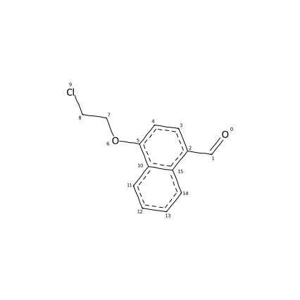 O=Cc1ccc(OCCCl)c2ccccc12